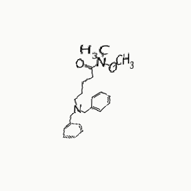 CON(C)C(=O)CCCCN(Cc1ccccc1)Cc1ccccc1